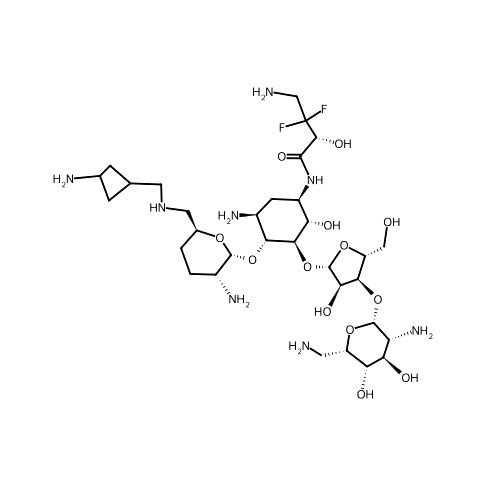 NC[C@@H]1O[C@H](O[C@H]2[C@@H](O)[C@H](O[C@@H]3[C@@H](O)[C@H](NC(=O)[C@@H](O)C(F)(F)CN)C[C@H](N)[C@H]3O[C@H]3O[C@H](CNCC4CC(N)C4)CC[C@H]3N)O[C@@H]2CO)[C@H](N)[C@@H](O)[C@@H]1O